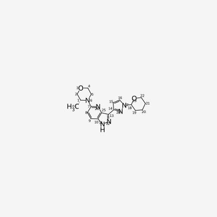 C[C@@H]1COCCN1c1ccc2[nH]nc(-c3ccn(C4CCCCO4)n3)c2n1